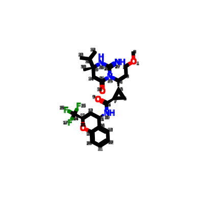 COCCC([C@@H]1C[C@H]1C(=O)N[C@H]1C[C@H](C(F)(F)F)Oc2ccccc21)N1C(=N)N[C@@](C)(C(C)C)CC1=O